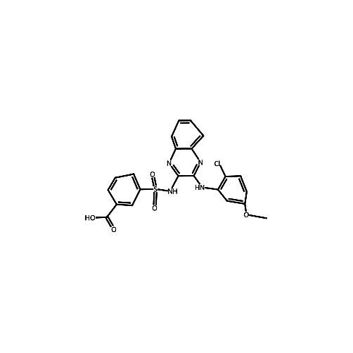 COc1ccc(Cl)c(Nc2nc3ccccc3nc2NS(=O)(=O)c2cccc(C(=O)O)c2)c1